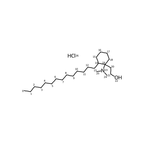 CCCCCCCCCCCCCCC1CCCCC1(CCO)N(C)C.Cl